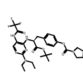 CCN(CC)c1ncc(NC(=O)C(F)(F)F)c(N[C@@H](Cc2ccc(OC(=O)N3CCCC3)cc2)C(=O)OC(C)(C)C)n1